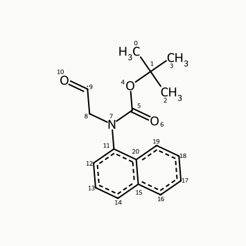 CC(C)(C)OC(=O)N(C[C]=O)c1cccc2ccccc12